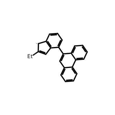 CCC1=Cc2c(cccc2-c2cc3ccccc3c3ccccc23)[CH]1